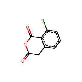 O=C1Cc2cccc(Cl)c2C(=O)O1